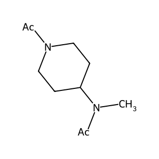 CC(=O)N1CCC(N(C)C(C)=O)CC1